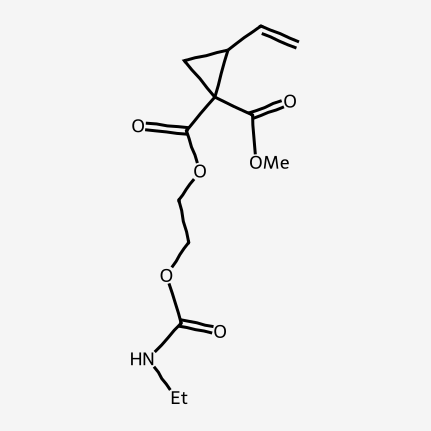 C=CC1CC1(C(=O)OC)C(=O)OCCOC(=O)NCC